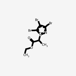 CCOC(=O)C(C)n1nc(Br)c(Br)c1Br